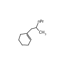 CCCC(C)CC1=CCCCC1